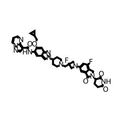 O=C1CCC(N2Cc3c(F)cc(N4CC(F)(CN5CCC(n6cc7cc(NC(=O)c8cnn9cccnc89)c(OCC8CC8)cc7n6)CC5)C4)cc3C2=O)C(=O)N1